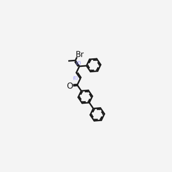 C/C(Br)=C(\C=C\C(=O)c1ccc(-c2ccccc2)cc1)c1ccccc1